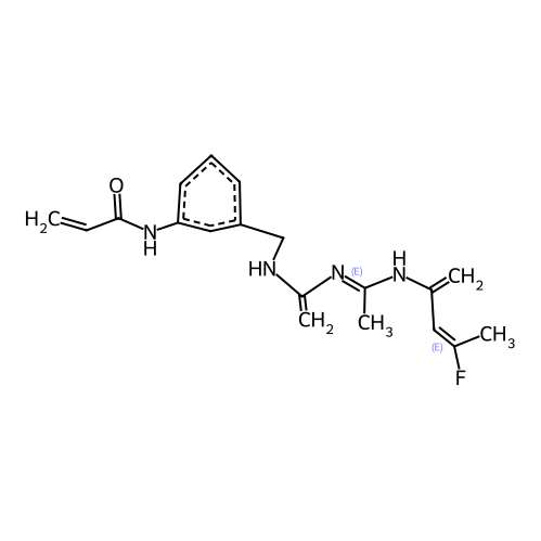 C=CC(=O)Nc1cccc(CNC(=C)/N=C(\C)NC(=C)/C=C(\C)F)c1